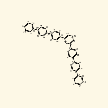 C1=C(c2ccc(-c3ccc(-c4ccccc4)cc3)cc2)SC(c2ccc(-c3ccc(-c4ccccc4)cc3)cc2)=CS1